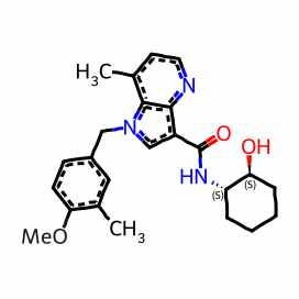 COc1ccc(Cn2cc(C(=O)N[C@H]3CCCC[C@@H]3O)c3nccc(C)c32)cc1C